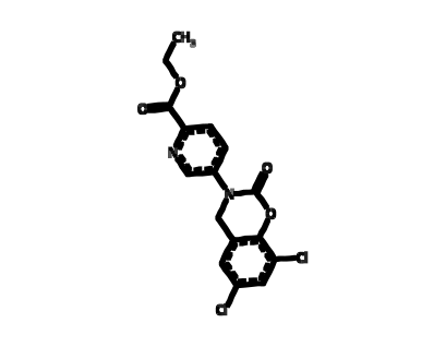 CCOC(=O)c1ccc(N2Cc3cc(Cl)cc(Cl)c3OC2=O)cn1